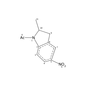 CC(=O)N1c2ccc([N+](=O)[O-])cc2CC1C